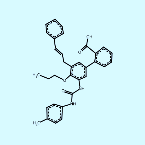 CCCOc1c(CC=Cc2ccccc2)cc(-c2ccccc2C(=O)O)cc1NC(=O)Nc1ccc(C)cc1